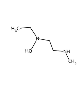 CCN(O)CCNC